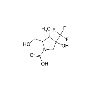 CC1C(CO)N(C(=O)O)CC1(O)C(F)(F)F